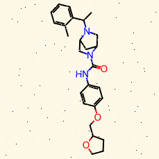 Cc1ccccc1C(C)N1CC2CC1CN2C(=O)Nc1ccc(OCC2CCCO2)cc1